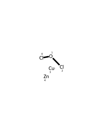 ClOCl.[Cu].[Zn]